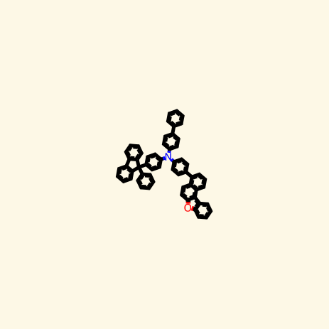 c1ccc(-c2ccc(N(c3ccc(-c4cccc5c4ccc4oc6ccccc6c45)cc3)c3ccc(C4(c5ccccc5)c5ccccc5-c5ccccc54)cc3)cc2)cc1